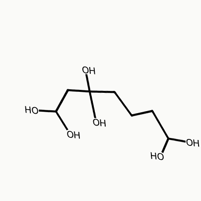 OC(O)CCCC(O)(O)CC(O)O